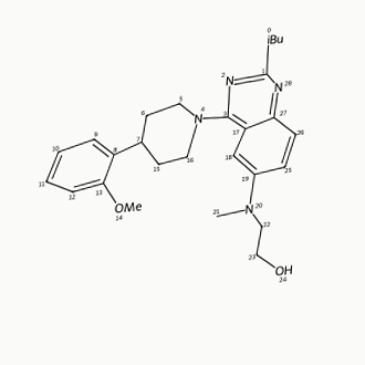 CCC(C)c1nc(N2CCC(c3ccccc3OC)CC2)c2cc(N(C)CCO)ccc2n1